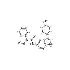 CCCSN(C(=O)Nc1ccc2[nH]cc(C3CCN(C(C)C)CC3)c2c1)c1ccccc1